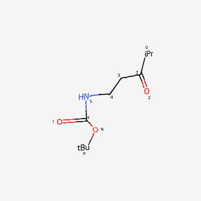 CC(C)C(=O)CCNC(=O)OC(C)(C)C